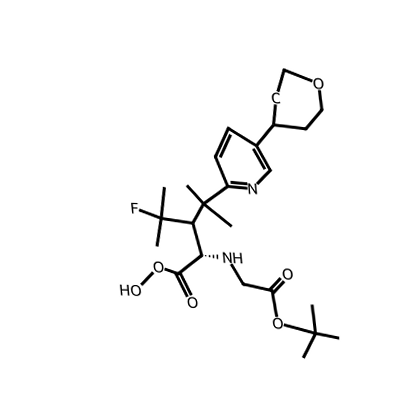 CC(C)(C)OC(=O)CN[C@H](C(=O)OO)C(C(C)(C)F)C(C)(C)c1ccc(C2CCOCC2)cn1